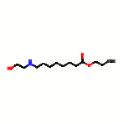 CCCCCCCCCCCOC(=O)CCCCCCCNCCO